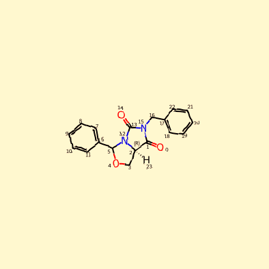 O=C1[C@H]2COC(c3ccccc3)N2C(=O)N1Cc1ccccc1